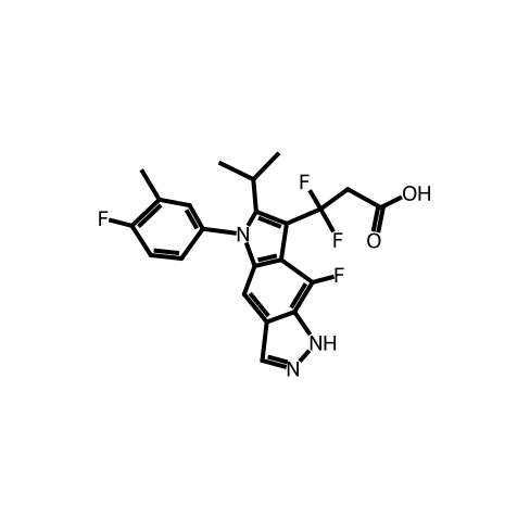 Cc1cc(-n2c(C(C)C)c(C(F)(F)CC(=O)O)c3c(F)c4[nH]ncc4cc32)ccc1F